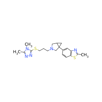 Cc1nc2cc(C34CC3CN(CCCSc3nnc(C)n3C)C4)ccc2s1